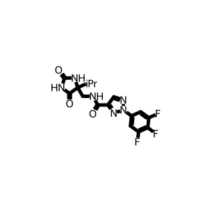 CC(C)C1(CNC(=O)c2cnn(-c3cc(F)c(F)c(F)c3)n2)NC(=O)NC1=O